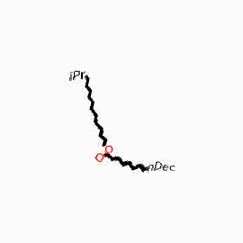 CCCCCCCCCCCCCCCCCC(=O)OCCCCCCCCCCCCC(C)C